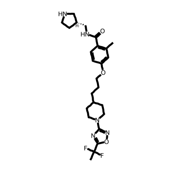 Cc1cc(OCCCC2CCN(c3noc(C(C)(F)F)n3)CC2)ccc1C(=O)NC[C@@H]1CCNC1